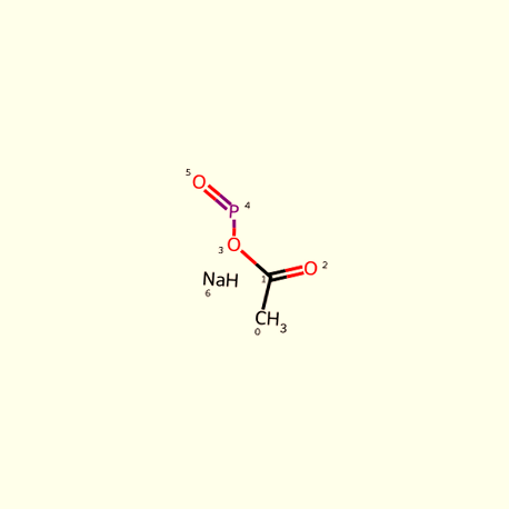 CC(=O)OP=O.[NaH]